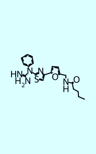 CCCCC(=O)NCc1ccc(-c2csc(N(C(=N)N)c3ccccc3)n2)o1